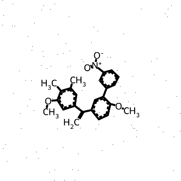 C=C(c1cc(C)c(C)c(OC)c1)c1ccc(OC)c(-c2cccc([N+](=O)[O-])c2)c1